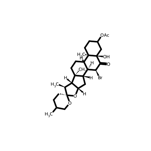 CC(=O)OC1CC[C@]2(C)[C@H]3CC[C@]4(C)[C@@H]5[C@H](C[C@H]4[C@@H]3[C@H](Br)C(=O)[C@@]2(O)C1)O[C@]1(CCC(C)CO1)[C@H]5C